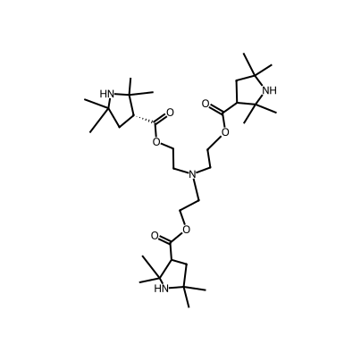 CC1(C)CC(C(=O)OCCN(CCOC(=O)C2CC(C)(C)NC2(C)C)CCOC(=O)[C@@H]2CC(C)(C)NC2(C)C)C(C)(C)N1